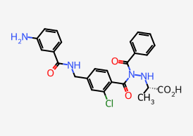 C[C@H](NN(C(=O)c1ccccc1)C(=O)c1ccc(CNC(=O)c2cccc(N)c2)cc1Cl)C(=O)O